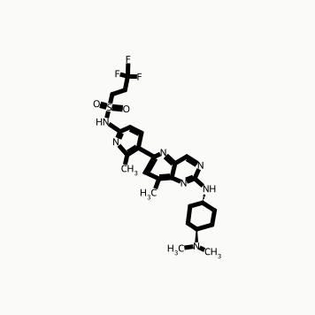 Cc1nc(NS(=O)(=O)CCC(F)(F)F)ccc1-c1cc(C)c2nc(N[C@H]3CC[C@H](N(C)C)CC3)ncc2n1